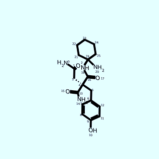 NC(=O)C[C@](Cc1ccc(O)cc1)(C(N)=O)C(=O)NC1(N)CCCCC1